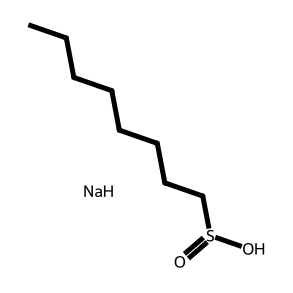 CCCCCCCCS(=O)O.[NaH]